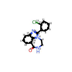 O=C1NCCn2c(-c3ccccc3Cl)nc3cccc1c32